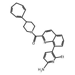 CCc1nc(N)ccc1-c1cccc2ccc(C(=O)N3CCC(C4=CC=CCC=C4)CC3)nc12